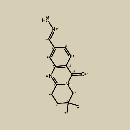 CC1(C)CCc2nc3cc(C=NO)ccc3c(=O)n2C1